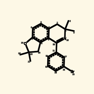 CC1(C)Cc2ccc3c(c2C(c2cccc(Br)c2)=N1)CC(C)(C)O3